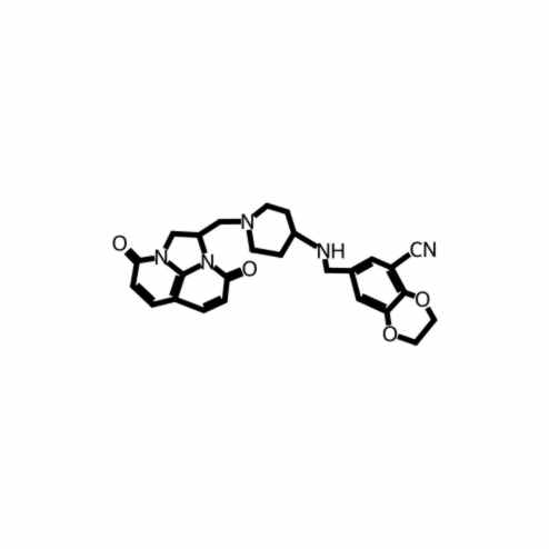 N#Cc1cc(CNC2CCN(CC3Cn4c(=O)ccc5ccc(=O)n3c54)CC2)cc2c1OCCO2